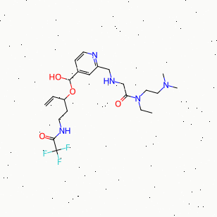 C=CC(CCNC(=O)C(F)(F)F)OC(O)c1ccnc(CNCC(=O)N(CC)CCN(C)C)c1